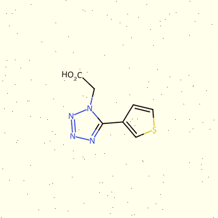 O=C(O)Cn1nnnc1-c1ccsc1